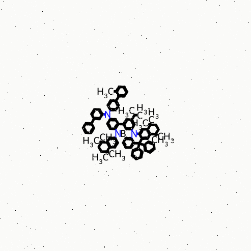 Cc1ccccc1-c1ccc(N(c2cccc(-c3ccccc3)c2)c2ccc3c(c2)-c2cc(C(C)C)cc4c2B(c2cccc5c2N4c2cc4c(cc2C5(c2ccccc2)c2ccccc2)C(C)(C)CCC4(C)C)N3c2ccc3c(c2)C(C)(C)CCC3(C)C)cc1